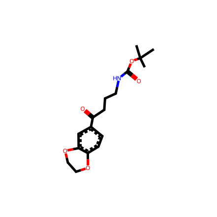 CC(C)(C)OC(=O)NCCCC(=O)c1ccc2c(c1)OCCO2